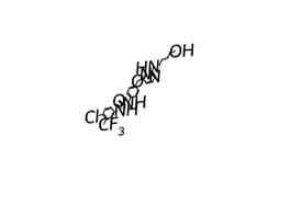 O=C(Nc1ccc(Oc2ccnc(NCCCCO)n2)cc1)Nc1ccc(Cl)c(C(F)(F)F)c1